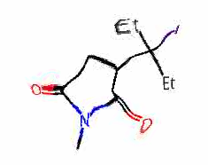 CCC(I)(CC)C1CC(=O)N(C)C1=O